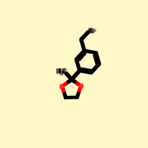 C[C](C)Cc1cccc(C2(C)OCCO2)c1